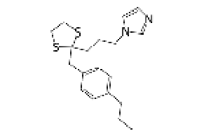 CCCc1ccc(CC2(CCCn3ccnc3)SCCS2)cc1